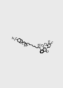 CC1CC2CC(C1)CC(C)(CNCCCCCCNc1cccc3c1C(=O)N(C1CCC(=O)NC1=O)C3=O)C2